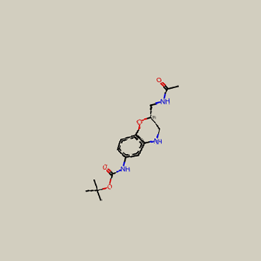 CC(=O)NC[C@H]1CNc2cc(NC(=O)OC(C)(C)C)ccc2O1